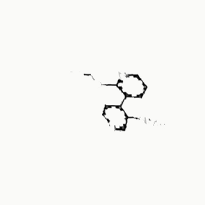 CNc1cnccc1-c1cccnc1OCC(F)(F)F